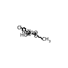 CCCCCOC(=O)COc1nc(-c2ccc(Cl)cn2)n(O)n1